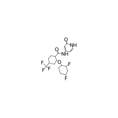 O=C(Nc1cc[nH]c(=O)c1)C1CCC(C(F)(F)F)CC1OC1CCC(F)CC1F